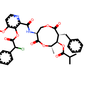 COc1ccnc(C(=O)N[C@H]2COC(=O)[C@H](Cc3ccccc3)[C@@H](OC(=O)C(C)C)[C@H](C)OC2=O)c1OC(=O)C(Cl)c1ccccc1